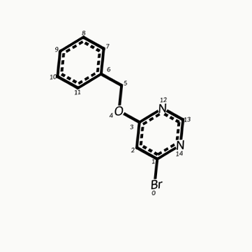 Brc1cc(OCc2ccccc2)ncn1